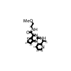 COCCNC(=O)c1nc(NC(C)c2ccccn2)nc2ccsc12